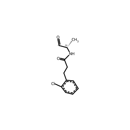 C[C@@H]([C]=O)NC(=O)CCc1ccccc1Cl